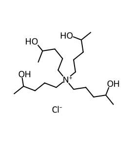 CC(O)CCC[N+](CCCC(C)O)(CCCC(C)O)CCCC(C)O.[Cl-]